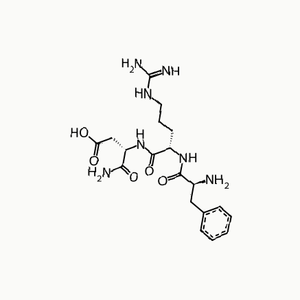 N=C(N)NCCC[C@H](NC(=O)[C@@H](N)Cc1ccccc1)C(=O)N[C@@H](CC(=O)O)C(N)=O